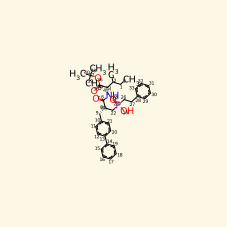 CCC(C)[C@H](NC(=O)[C@@H](Cc1ccc(-c2ccccc2)cc1)CP(=O)(O)CCc1ccccc1)C(=O)OC(C)(C)C